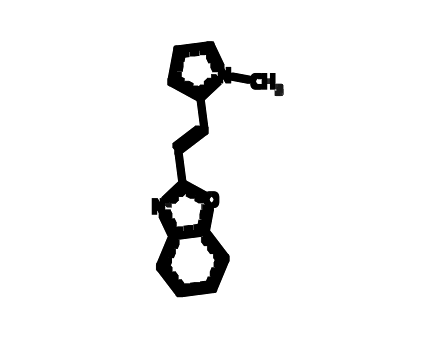 Cn1cccc1C=Cc1nc2ccccc2o1